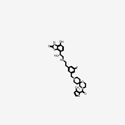 Cc1ccsc1C(=O)N1CCOC2(CCN(Cc3cc(F)cc(CCNC[C@H](O)c4ccc(O)c5[nH]c(=O)sc45)c3)CC2)C1